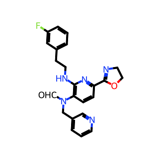 O=CN(Cc1cccnc1)c1ccc(C2=NCCO2)nc1NCCc1cccc(F)c1